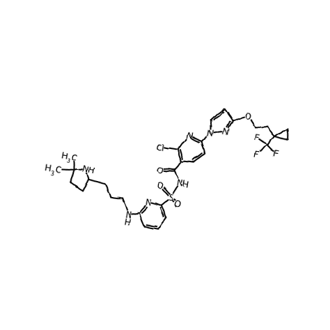 CC1(C)CCC(CCCNc2cccc(S(=O)(=O)NC(=O)c3ccc(-n4ccc(OCCC5(C(F)(F)F)CC5)n4)nc3Cl)n2)N1